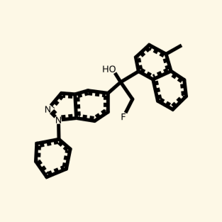 Cc1ccc(C(O)(CF)c2ccc3c(cnn3-c3ccccc3)c2)c2ccccc12